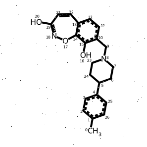 Cc1ccc(C2CCN(Cc3ccc4c(c3O)ON=C(O)C=C4)CC2)cc1